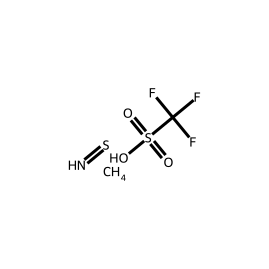 C.N=S.O=S(=O)(O)C(F)(F)F